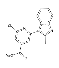 COC(=O)c1cc(Cl)nc(-n2c(C)nc3ccccc32)c1